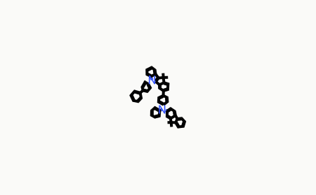 CC1(C)c2ccccc2-c2ccc(N(c3ccccc3)c3ccc(-c4ccc5c(c4)-c4c(c6ccccc6n4-c4ccc(-c6ccccc6)cc4)C5(C)C)cc3)cc21